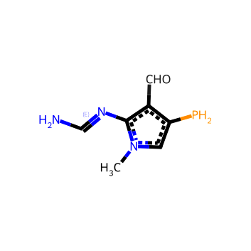 Cn1cc(P)c(C=O)c1/N=C/N